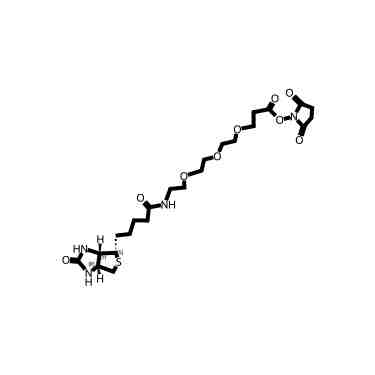 O=C(CCCC[C@@H]1SC[C@@H]2NC(=O)N[C@@H]21)NCCOCCOCCOCCC(=O)ON1C(=O)CCC1=O